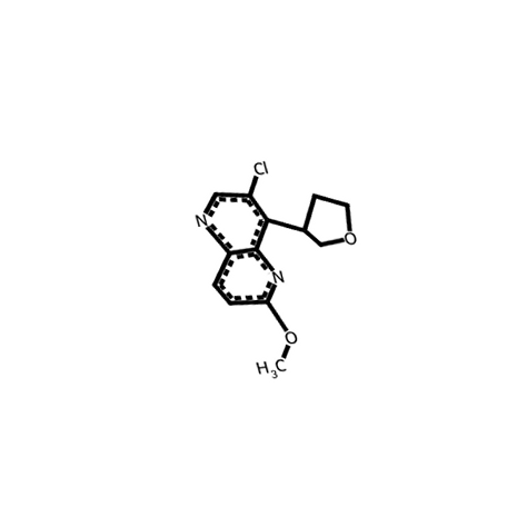 COc1ccc2ncc(Cl)c(C3CCOC3)c2n1